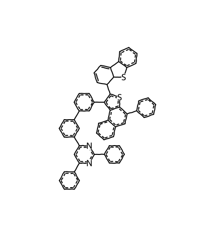 C1=CC(c2sc3c(-c4ccccc4)cc4ccccc4c3c2-c2cccc(-c3cccc(-c4cc(-c5ccccc5)nc(-c5ccccc5)n4)c3)c2)C2Sc3ccccc3C2=C1